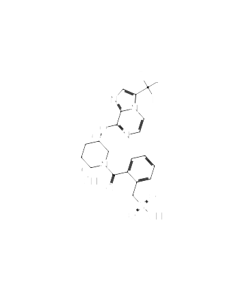 C[C@@H]1CC[C@@H](Oc2nccn3c(C(F)(F)F)cnc23)CN1C(=O)c1ccccc1CS(C)(=O)=O